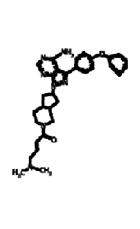 CN(C)CC=CC(=O)N1CCC2CC(n3nc(-c4ccc(Oc5ccccc5)cc4)c4c(N)ncnc43)CC2C1